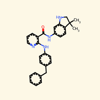 CC1(C)CNc2cc(NC(=O)c3cccnc3Nc3ccc(Cc4ccccc4)cc3)ccc21